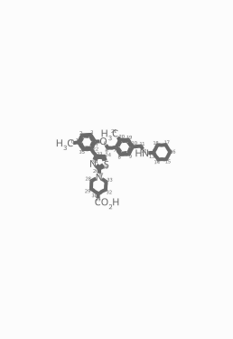 Cc1ccc(OCc2ccc(CNC3CCCCC3)cc2C)c(-c2csc(N3CCC(C(=O)O)CC3)n2)c1